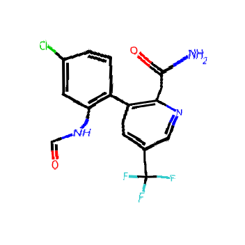 NC(=O)c1ncc(C(F)(F)F)cc1-c1ccc(Cl)cc1NC=O